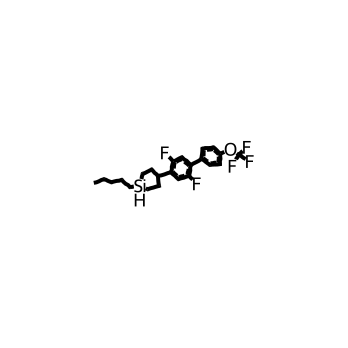 CCCCC[SiH]1CCC(c2cc(F)c(-c3ccc(OC(F)(F)F)cc3)cc2F)CC1